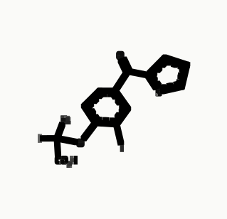 CCC(I)(Oc1ccc(C(=O)c2cccs2)cc1I)C(=O)O